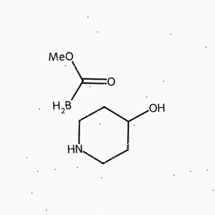 BC(=O)OC.OC1CCNCC1